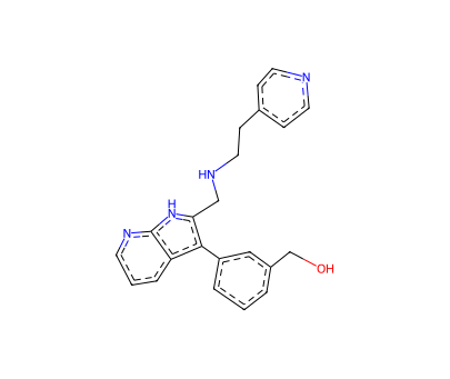 OCc1cccc(-c2c(CNCCc3ccncc3)[nH]c3ncccc23)c1